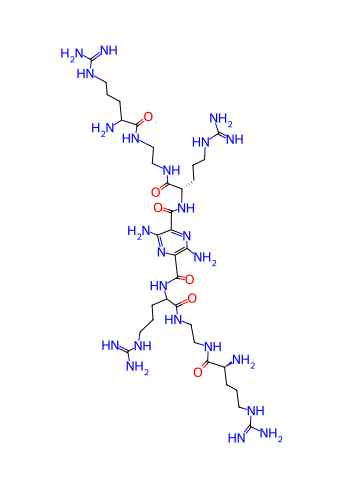 N=C(N)NCCCC(N)C(=O)NCCNC(=O)[C@H](CCCNC(=N)N)NC(=O)c1nc(N)c(C(=O)NC(CCCNC(=N)N)C(=O)NCCNC(=O)[C@@H](N)CCCNC(=N)N)nc1N